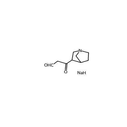 O=CCC(=O)C1CN2CCC1C2.[NaH]